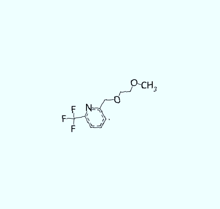 COCCOCc1[c]ccc(C(F)(F)F)n1